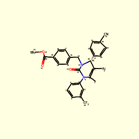 CC(=O)C1=C(C)N(c2cccc(C(F)(F)F)c2)C(=O)N(Cc2ccc(C(=O)OC(C)(C)C)cc2)[C@@H]1c1ccc(C#N)cc1